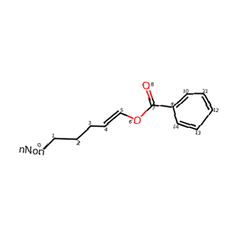 CCCCCCCCCCCCC=COC(=O)c1ccccc1